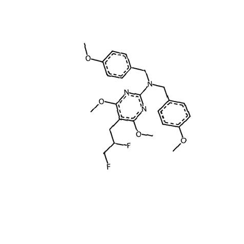 COc1ccc(CN(Cc2ccc(OC)cc2)c2nc(OC)c(CC(F)CF)c(OC)n2)cc1